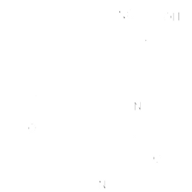 N#CC1(O)CCN(C(=O)c2cc(Oc3ccccc3)ccn2)CC1